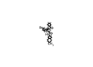 CN1CCc2ccc(NC(=O)[C@@H](CNC(=O)c3ccccc3)NC(=O)c3ccc(Br)s3)cc2CC1